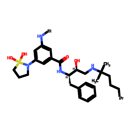 CCNc1cc(C(=O)N[C@@H](Cc2ccccc2)[C@@H](O)CNC(C)(C)CCCC(C)C)cc(N2CCCS2(O)O)c1